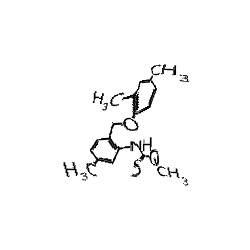 COC(=S)Nc1cc(C)ccc1COc1ccc(C)cc1C